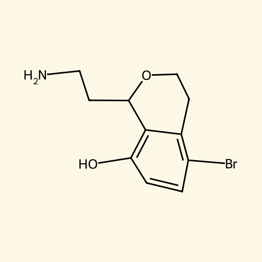 NCCC1OCCc2c(Br)ccc(O)c21